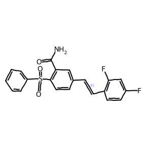 NC(=O)c1cc(/C=C/c2ccc(F)cc2F)ccc1S(=O)(=O)c1ccccc1